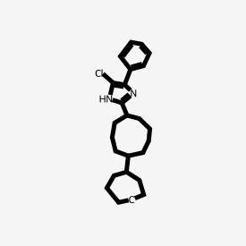 Clc1[nH]c(C2CCCCC(C3CCCCCC3)CCC2)nc1-c1ccccc1